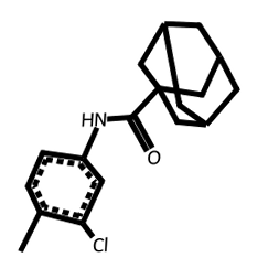 Cc1ccc(NC(=O)C23CC4CC(CC(C4)C2)C3)cc1Cl